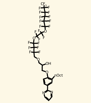 CCCCCCCCc1cc(-c2ncccn2)ccc1OCC(O)COCC(F)(F)C(F)(F)C(F)(F)OC(F)(F)C(F)(F)OC(F)(F)C(F)(F)C(F)(F)C(F)(F)C(F)(F)C(F)(F)F